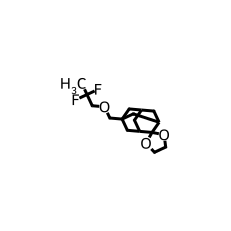 CC(F)(F)COCC12CC3CC(C1)C1(OCCO1)C(C3)C2